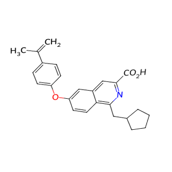 C=C(C)c1ccc(Oc2ccc3c(CC4CCCC4)nc(C(=O)O)cc3c2)cc1